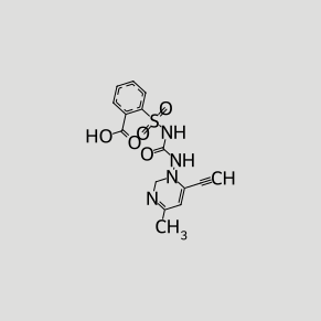 C#CC1=CC(C)=NCN1NC(=O)NS(=O)(=O)c1ccccc1C(=O)O